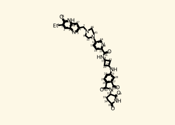 CCc1cc2ncc(CN3CCN(c4ccc(C(=O)NC5CC(Nc6ccc7c(c6)C(=O)N([C@@H]6CCC(=O)NC6=O)C7=O)C5)nc4)CC3)cc2[nH]c1=O